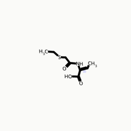 C/C=C(\NC(=O)CSCC)C(=O)O